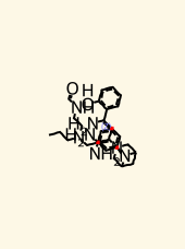 CCCN(CCNC=O)Cc1cccc(N2C3CC2CN(C(/C=C(\N)c2ccccc2O)=C(N)N)C3)c1